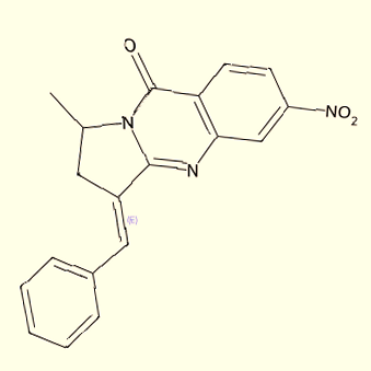 CC1C/C(=C\c2ccccc2)c2nc3cc([N+](=O)[O-])ccc3c(=O)n21